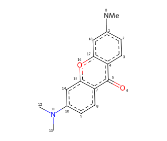 CNc1ccc2c(=O)c3ccc(N(C)C)cc3oc2c1